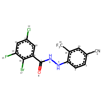 N#Cc1ccc(NNC(=O)c2cc(Cl)cc(F)c2Br)c(C(F)(F)F)c1